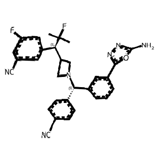 CC(C)(F)[C@H](c1cc(F)cc(C#N)c1)C1CN([C@@H](c2ccc(C#N)cc2)c2cccc(-c3nnc(N)o3)c2)C1